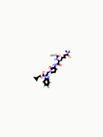 COC(=O)N[C@@H](CC/C=C/C(=O)N(C)C)C(=O)Nc1cccn(Cc2nc3cc(F)c(F)cc3n2C(=O)OCC2CC2)c1=O